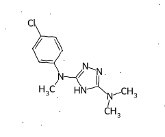 CN(C)c1nnc(N(C)c2ccc(Cl)cc2)[nH]1